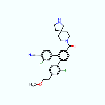 COCCc1ccc(-c2ccc(C(=O)N3CCC4(CCNC4)CC3)cc2-c2ccc(C#N)c(F)c2)c(F)c1